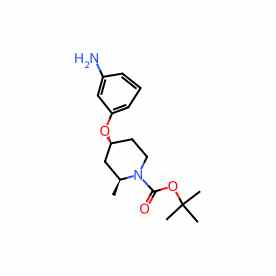 C[C@H]1C[C@@H](Oc2cccc(N)c2)CCN1C(=O)OC(C)(C)C